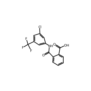 O=C(O)c1ccccc1C(=O)Nc1cc(Cl)cc(C(F)(F)F)c1